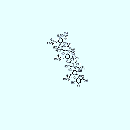 CC(=O)N[C@H]1[C@@H](O[C@H]2[C@H](O)[C@@H](O)[C@H](O[C@H]3[C@H](OS(=O)(=O)O)[C@@H](NS(=O)(=O)O)[C@@H](O[C@H]4[C@H](O)[C@@H](OS(=O)(=O)O)[C@H](O[C@H]5[C@H](O)[C@@H](NS(=O)(=O)O)C(C)O[C@@H]5COS(=O)(=O)O)O[C@H]4C(=O)O)O[C@@H]3COS(=O)(=O)O)O[C@@H]2C(=O)O)O[C@H](COS(=O)(=O)O)[C@@H](O[C@@H]2OC(C(=O)O)=C[C@H](O)[C@H]2O)[C@@H]1O